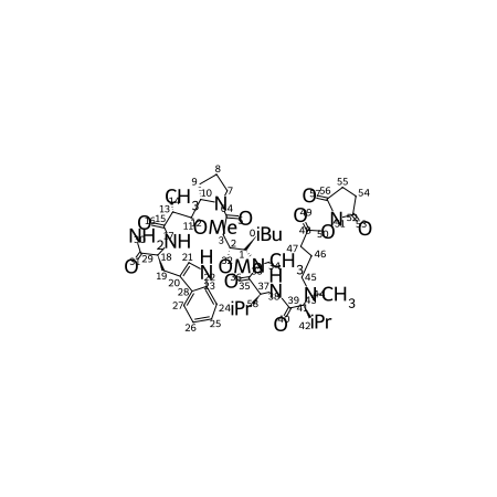 CC[C@H](C)[C@@H]([C@@H](CC(=O)N1CCC[C@H]1[C@H](OC)[C@@H](C)C(=O)N[C@@H](Cc1c[nH]c2ccccc12)C(N)=O)OC)N(C)C(=O)[C@@H](NC(=O)[C@H](C(C)C)N(C)CCCC(=O)ON1C(=O)CCC1=O)C(C)C